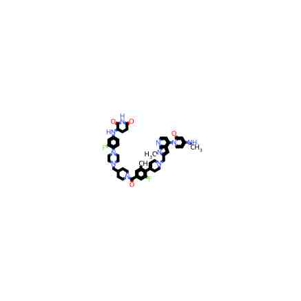 CNc1ccn(-c2ccnc3c2cc(CN2CC=C(c4c(C)cc(C(=O)N5CCC(CN6CCN(c7ccc(NC8CCC(=O)NC8=O)cc7F)CC6)CC5)cc4F)CC2)n3C)c(=O)c1